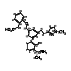 C[C@@H](N)c1cccc(-c2cc(CCc3ccn(C)n3)cc(COc3ccccc3CC(=O)O)c2)c1F